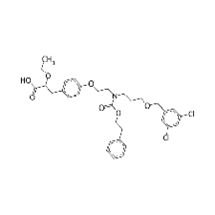 CCOC(Cc1ccc(OCCN(CCCOCc2cc(Cl)cc(Cl)c2)C(=O)OCCc2ccccc2)cc1)C(=O)O